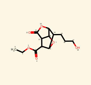 CCOC(=O)C1C2OC3C(OC(=O)C31)C2CCCO